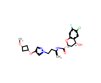 C=C(CCn1cc(O[C@H]2C[C@@H](OC(F)(F)F)C2)cn1)NC(=O)[C@H]1C[C@@H](O)c2cc(Cl)c(F)cc2O1